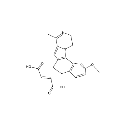 COc1ccc2c(c1)-c1c(cc3n1CCN=C3C)CC2.O=C(O)C=CC(=O)O